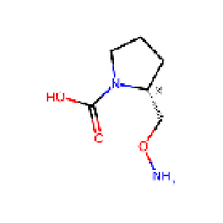 NOC[C@H]1CCCN1C(=O)O